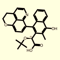 Cc1c([C@H](OC(C)(C)C)C(=O)O)c(-c2ccc3c4c(ccnc24)CCO3)c2ccccc2c1O